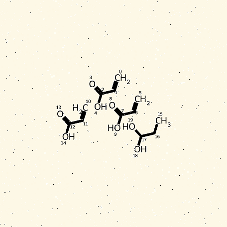 C=CC(=O)O.C=CC(=O)O.C=CC(=O)O.CCC(O)O